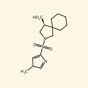 Cn1cnc(S(=O)(=O)N2C[C@@H](C(=O)O)C3(CCCCC3)C2)c1